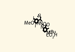 COc1c(I)cc(C(CNc2nc3ccc(N(C(=O)O)C(C)(C)C)c(C)c3c(=O)o2)CN(C)C)cc1I